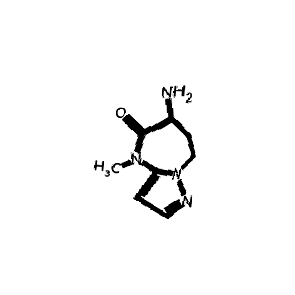 CN1C(=O)C(N)CCn2nccc21